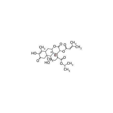 CC(C)=CC(=O)OC1C(=O)OC2CC3C(C)=C(O)C(=O)CC3(C)C3C(O)CC4(C(=O)OC(C)C)OC[C@@]23C14